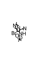 Cc1cn2c(C#N)c(NC(=O)OC(C)(C)C)c(Br)c2cn1